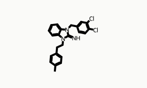 Cc1ccc(CCn2c(=N)n(Cc3ccc(Cl)c(Cl)c3)c3ccccc32)cc1